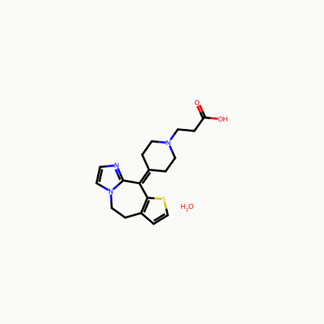 O.O=C(O)CCN1CCC(=C2c3sccc3CCn3ccnc32)CC1